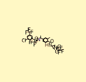 C/C(=N\OC(c1cc(C(F)(F)F)cc(Cl)c1F)C(F)(F)F)c1ccc(C(=O)NC2CN(S(=O)(=O)C(F)(F)F)C2)c(C)c1